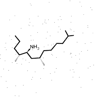 CCC[C@@H](C)[C@@H](N)C[C@@H](C)CCCCC(C)C